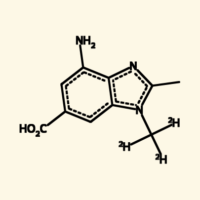 [2H]C([2H])([2H])n1c(C)nc2c(N)cc(C(=O)O)cc21